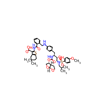 COc1ccc(S(=O)(=O)N(CC(C)C)C[C@@H](O)[C@H](Cc2ccc(NCc3ccccc3C(=O)Nc3sc4c(c3C(=O)O)CC(C)(C)CC4)cc2)NC(=O)O[C@H]2CO[C@H]3OCC[C@H]32)cc1